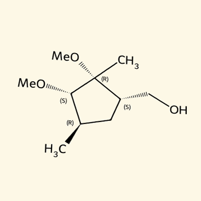 CO[C@H]1[C@H](C)C[C@@H](CO)[C@@]1(C)OC